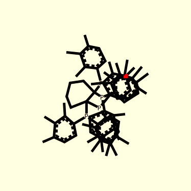 Cc1ccc(P(c2ccc(C)c(C)c2C)C2(P(c3ccc(C)c(C)c3C)c3ccc(C)c(C)c3C)CCCCC2(P(c2ccc(C)c(C)c2C)c2ccc(C)c(C)c2C)P(c2ccc(C)c(C)c2C)c2ccc(C)c(C)c2C)c(C)c1C